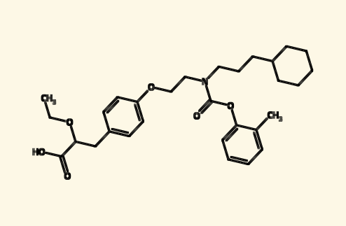 CCOC(Cc1ccc(OCCN(CCCC2CCCCC2)C(=O)Oc2ccccc2C)cc1)C(=O)O